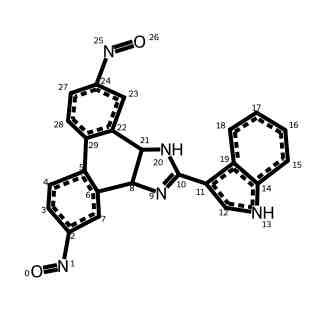 O=Nc1ccc2c(c1)C1N=C(c3c[nH]c4ccccc34)NC1c1cc(N=O)ccc1-2